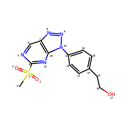 CS(=O)(=O)c1ncc2nnn(-c3ccc(CCO)cc3)c2n1